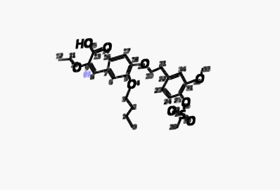 CCCCOc1cc(/C=C(/OCC)C(=O)O)ccc1OCCc1ccc(OS(C)(=O)=O)c(OC)c1